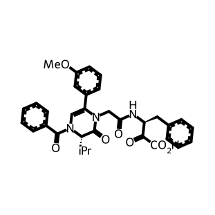 COc1cccc(C2=CN(C(=O)c3ccccc3)[C@@H](C(C)C)C(=O)N2CC(=O)N[C@@H](Cc2ccccc2)C(=O)C(=O)O)c1